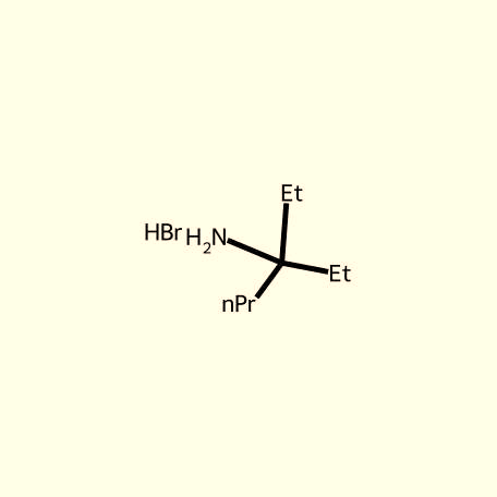 Br.CCCC(N)(CC)CC